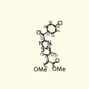 COC=C(C(=O)OC)c1sc2nc(C(=O)c3ccc(Cl)cc3)nn2c1C